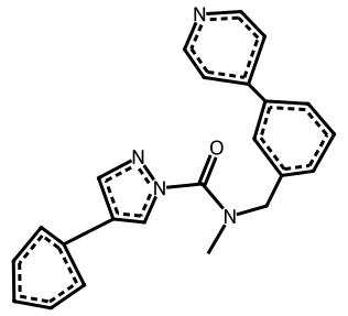 CN(Cc1cccc(-c2ccncc2)c1)C(=O)n1cc(-c2ccccc2)cn1